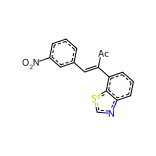 CC(=O)C(=Cc1cccc([N+](=O)[O-])c1)c1cccc2ncsc12